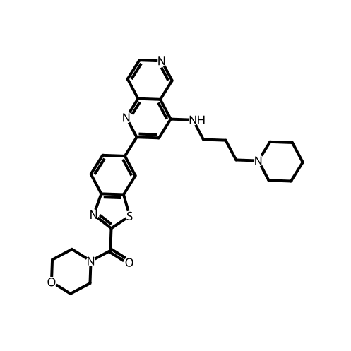 O=C(c1nc2ccc(-c3cc(NCCCN4CCCCC4)c4cnccc4n3)cc2s1)N1CCOCC1